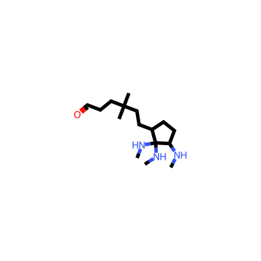 CNC1CCC(CCC(C)(C)CCC=O)C1(NC)NC